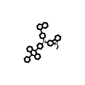 CCn1c2ccccc2c2cc(N(c3ccc(-c4cccc5ccccc45)cc3)c3ccc(-c4c5ccccc5c(-c5ccccc5)c5ccccc45)cc3)ccc21